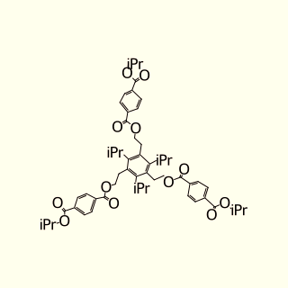 CC(C)OC(=O)c1ccc(C(=O)OCCc2c(C(C)C)c(CCOC(=O)c3ccc(C(=O)OC(C)C)cc3)c(C(C)C)c(CCOC(=O)c3ccc(C(=O)OC(C)C)cc3)c2C(C)C)cc1